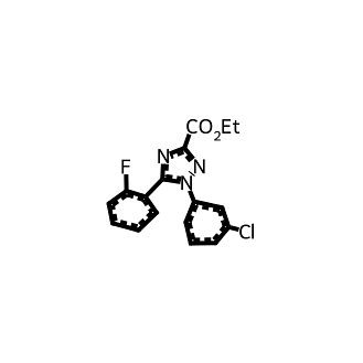 CCOC(=O)c1nc(-c2ccccc2F)n(-c2cccc(Cl)c2)n1